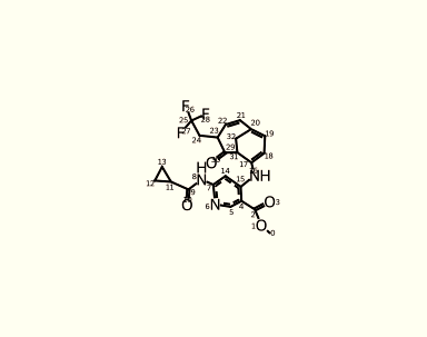 COC(=O)c1cnc(NC(=O)C2CC2)cc1NC1=CC=C2C=CC(CC(F)(F)F)C(=O)C1C2